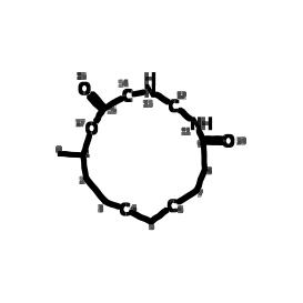 CC1CCCCCCCC(=O)NCNCC(=O)O1